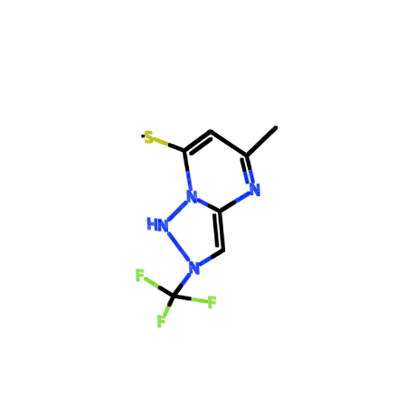 CC1=NC2=CN(C(F)(F)F)NN2C([S])=C1